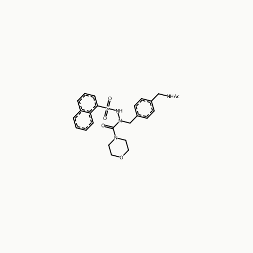 CC(=O)NCc1ccc(CN(NS(=O)(=O)c2cccc3ccccc23)C(=O)N2CCOCC2)cc1